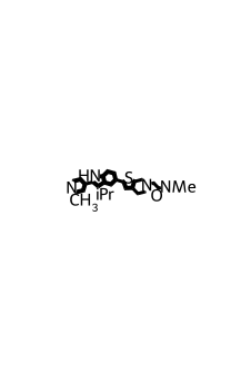 CNC(=O)CN1CCc2cc(-c3ccc4[nH]c(-c5ccnc(C)c5)c(C(C)C)c4c3)sc2C1